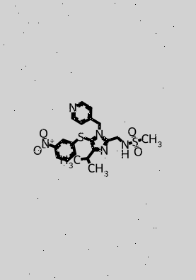 CC(C)c1nc(CNS(C)(=O)=O)n(Cc2ccncc2)c1Sc1cccc([N+](=O)[O-])c1